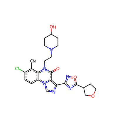 N#Cc1c(Cl)ccc2c1n(CCN1CCC(O)CC1)c(=O)c1c(-c3noc(C4CCOC4)n3)ncn12